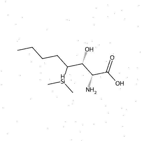 CCCCC([C@H](O)[C@@H](N)C(=O)O)[SiH](C)C